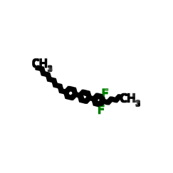 CCCCCCCCCCC1CCC(C2=CCC(c3cc(F)c(CCCCC)c(F)c3)C=C2)CC1